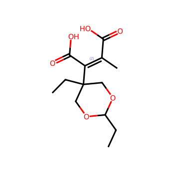 CCC1OCC(CC)(/C(C(=O)O)=C(\C)C(=O)O)CO1